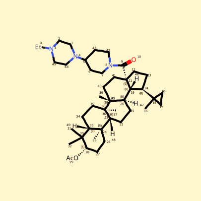 CCN1CCN(C2CCN(C(=O)[C@]34CC[C@@H](C5(C)CC5)[C@@H]3[C@H]3CC[C@@H]5[C@@]6(C)CC[C@H](OC(C)=O)C(C)(C)[C@@H]6CC[C@@]5(C)[C@]3(C)CC4)CC2)CC1